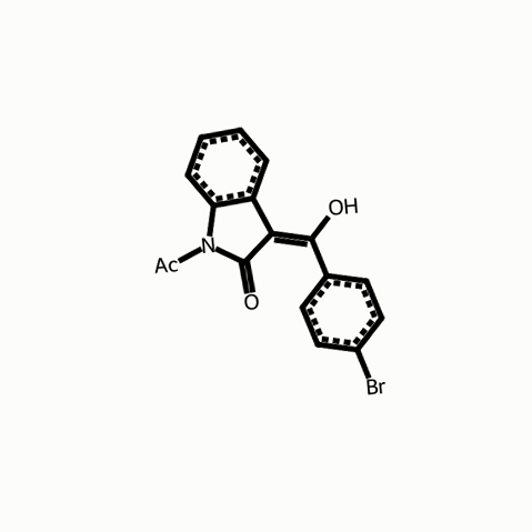 CC(=O)N1C(=O)C(=C(O)c2ccc(Br)cc2)c2ccccc21